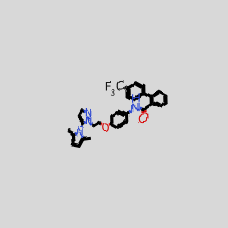 Cc1ccc(C)n1-c1ccnn1CCOc1ccc(NC(=O)c2ccccc2-c2ccc(C(F)(F)F)cc2)cc1